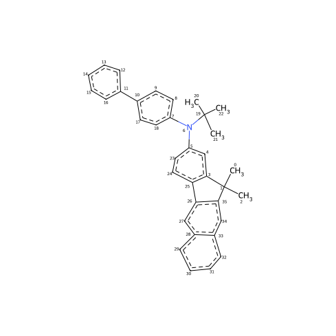 CC1(C)c2cc(N(c3ccc(-c4ccccc4)cc3)C(C)(C)C)ccc2-c2cc3ccccc3cc21